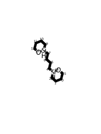 C1CC[SiH](CCCC[SiH]2CCCCO2)OC1